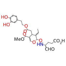 C/C=C1/C(ON[C@H](C=O)CCC(=O)O)OC=C(C(=O)OC)C1CC(=O)OCCc1ccc(O)c(O)c1